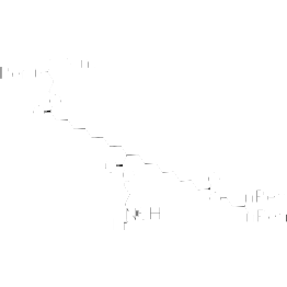 CCCCCC(CCCCC)CCOC(=O)CCCCCCCCC(CCCCCCCCC(=O)OCCC(CCCCC)CCCCC)C(=O)OCCCN(C)C(C)C